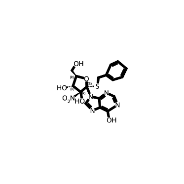 O=[N+]([O-])[C@@]1(O)[C@H](O)[C@@H](CO)O[C@@]1(SCc1ccccc1)n1cnc2c(O)ncnc21